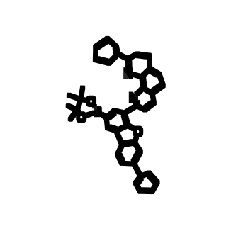 CC1(C)OB(c2cc(-c3ccc4ccc5ccc(-c6ccccc6)nc5c4n3)c3oc4cc(-c5ccccc5)ccc4c3c2)OC1(C)C